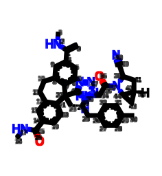 C=C(NC)c1ccc2c(c1)CCc1cc(C(=O)NC)ccc1C2(C[C@@H](Cc1ccc(C)cc1)NCC(=O)N1C(C#N)C[C@@H]2CC21)c1nnn[nH]1